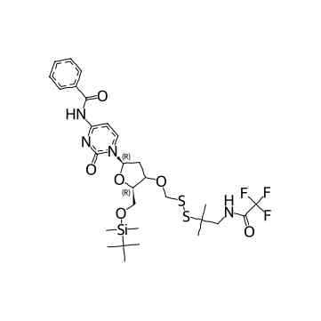 CC(C)(CNC(=O)C(F)(F)F)SSCOC1C[C@H](n2ccc(NC(=O)c3ccccc3)nc2=O)O[C@@H]1CO[Si](C)(C)C(C)(C)C